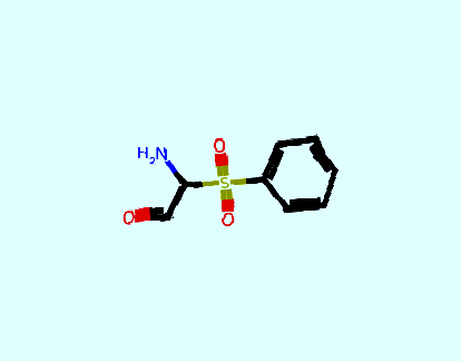 NC([C]=O)S(=O)(=O)c1ccccc1